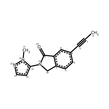 CC#Cc1ccc2c(c1)C(=O)N(c1ccnn1C)C2